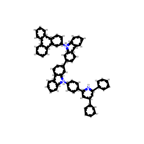 c1ccc(-c2cc(-c3ccccc3)nc(-c3ccc(-n4c5ccccc5c5ccc(-c6ccc7c8ccccc8n(-c8ccc9c%10ccccc%10c%10ccccc%10c9c8)c7c6)cc54)cc3)c2)cc1